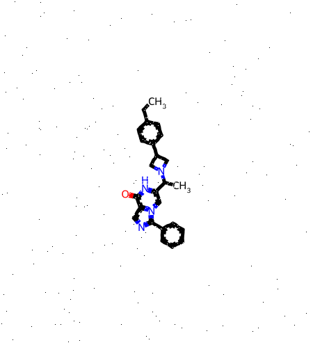 CCc1ccc(C2CN(C(C)c3cn4c(-c5ccccc5)ncc4c(=O)[nH]3)C2)cc1